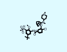 COc1c(NC(=O)c2ccc(Cl)c(OC3C4=CN=C(N(C)C5CCN(C)CC5)C3C4)c2)cc(C(C)(C)C)cc1NS(C)(=O)=O